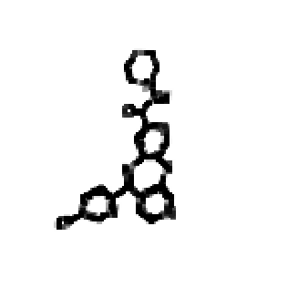 O=C(NN1CCCCC1)c1ccc2c(c1)N=C(c1ccc(Cl)cn1)c1ccncc1S2